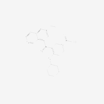 CC(=O)N1CCC(NC2CCOCC2)=C(C(=N)c2cc(CO)cc3ccncc23)C1